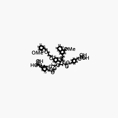 COCC(COC1CN(C(=O)OCc2ccc(CON(O)O)cc2)CC(OCc2cc(OC)c3ccccc3c2)C1c1ccc(OCCCOCc2ccccc2OC)cc1)OC(=O)OCc1ccc(CON(O)O)cc1